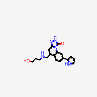 O=c1[nH]nc2cc(CNCCCO)c3ccc(-c4ccc[nH]4)cc3n12